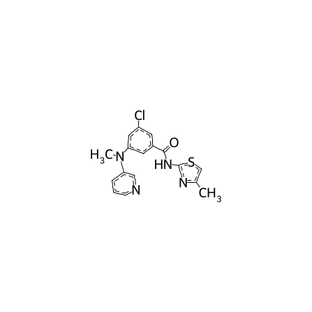 Cc1csc(NC(=O)c2cc(Cl)cc(N(C)c3cccnc3)c2)n1